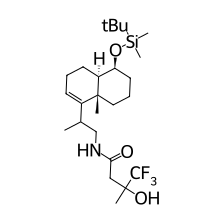 CC(CNC(=O)CC(C)(O)C(F)(F)F)C1=CCC[C@H]2[C@@H](O[Si](C)(C)C(C)(C)C)CCC[C@]12C